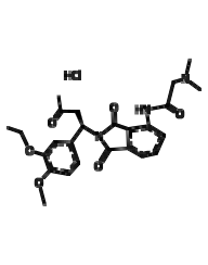 CCOc1cc([C@@H](CC(C)=O)N2C(=O)c3cccc(NC(=O)CN(C)C)c3C2=O)ccc1OC.Cl